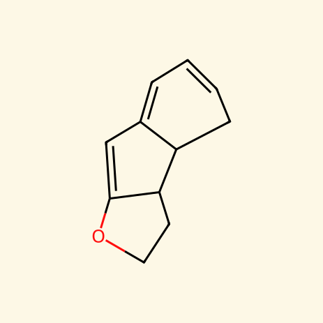 C1=CCC2C(=C1)C=C1OCCC12